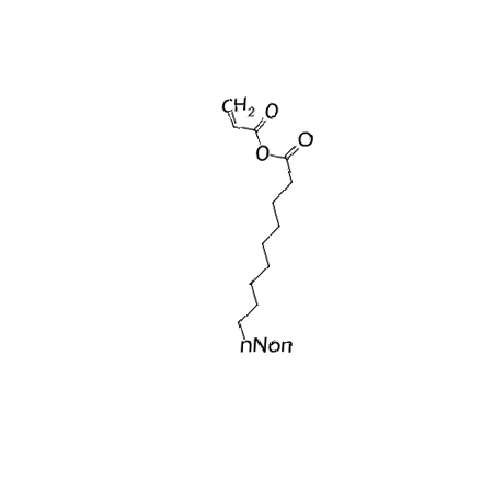 C=CC(=O)OC(=O)CCCCCCCCCCCCCCCCC